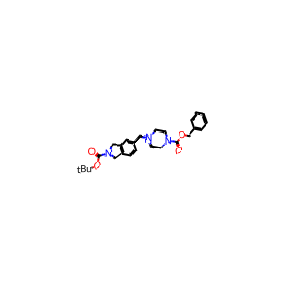 CC(C)(C)OC(=O)N1Cc2ccc(CN3CCN(C(=O)OCc4ccccc4)CC3)cc2C1